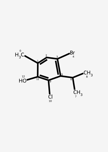 Cc1cc(Br)c(C(C)C)c(Cl)c1O